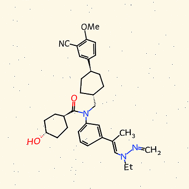 C=NN(/C=C(\C)c1cccc(N(C[C@H]2CC[C@H](c3ccc(OC)c(C#N)c3)CC2)C(=O)[C@H]2CC[C@H](O)CC2)c1)CC